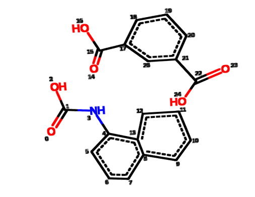 O=C(O)Nc1cccc2ccccc12.O=C(O)c1cccc(C(=O)O)c1